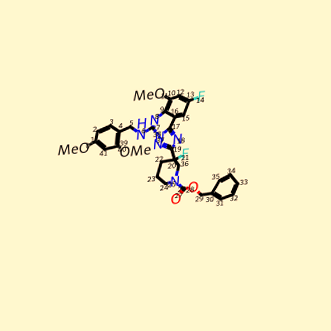 COc1ccc(CNc2nc3c(OC)cc(F)cc3c3nc(C4(F)CCCN(C(=O)OCc5ccccc5)C4)nn23)c(OC)c1